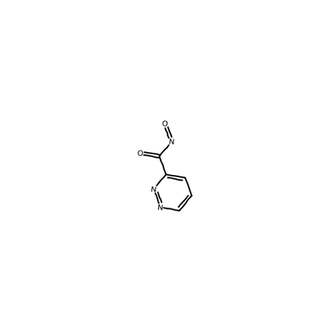 O=NC(=O)c1cccnn1